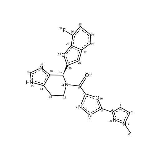 Cn1ccc(-c2nnc(C(=O)N3CCc4[nH]cnc4[C@H]3c3cc4cccc(F)c4o3)o2)n1